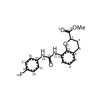 COC(=O)C1CCc2cccc(NC(=O)Nc3ccc(F)cc3)c2O1